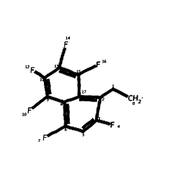 [CH2]Cc1c(F)cc(F)c2c(F)c(F)c(F)c(F)c12